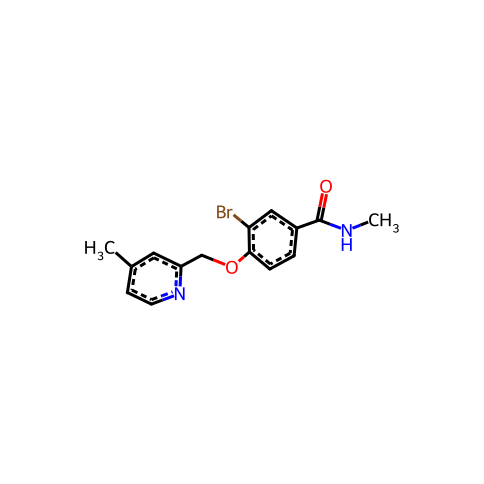 CNC(=O)c1ccc(OCc2cc(C)ccn2)c(Br)c1